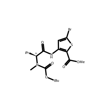 COC(=O)c1sc(Br)cc1NC(=O)[C@H](C(C)C)N(C)C(=O)OC(C)(C)C